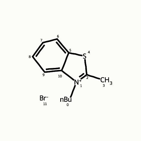 CCCC[n+]1c(C)sc2ccccc21.[Br-]